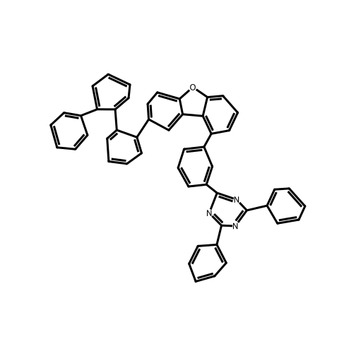 c1ccc(-c2nc(-c3ccccc3)nc(-c3cccc(-c4cccc5oc6ccc(-c7ccccc7-c7ccccc7-c7ccccc7)cc6c45)c3)n2)cc1